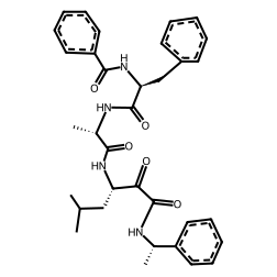 CC(C)C[C@H](NC(=O)[C@H](C)NC(=O)[C@H](Cc1ccccc1)NC(=O)c1ccccc1)C(=O)C(=O)N[C@@H](C)c1ccccc1